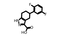 O=C(O)c1n[nH]c2c1CC(c1cc(F)ccc1F)CC2